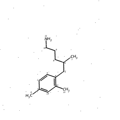 Cc1ccc(CC(C)CCCN)c(C)c1